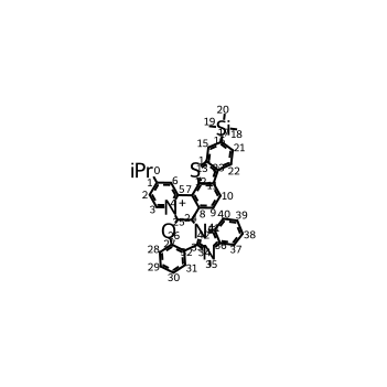 CC(C)c1cc[n+]2c(c1)-c1c(ccc3c1sc1cc([Si](C)(C)C)ccc13)C1C2Oc2ccccc2-c2n(C)c3ccccc3[n+]21